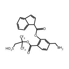 BCc1ccc(C(=O)OC(CS(=O)(=O)O)(C(F)(F)F)C(F)(F)F)c(OC(=O)C2C=Cc3ccccc32)c1